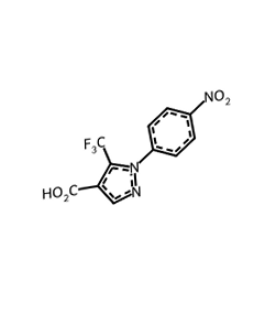 O=C(O)c1cnn(-c2ccc([N+](=O)[O-])cc2)c1C(F)(F)F